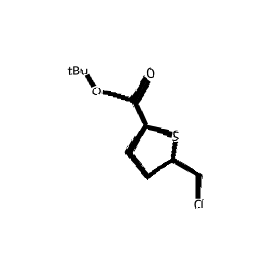 CC(C)(C)OC(=O)C1CCC(CCl)S1